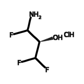 Cl.NC(F)[C@H](O)C(F)F